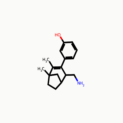 CC1=C(c2cccc(O)c2)C(CN)C2CCC1(C)C2